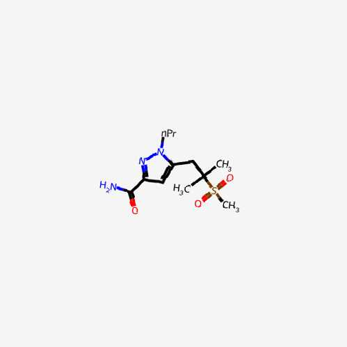 CCCn1nc(C(N)=O)cc1CC(C)(C)S(C)(=O)=O